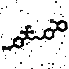 CCCS(=O)(=O)N(CCCN1CCN(c2ccccc2Cl)CC1)c1ccc(OC)cc1